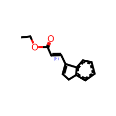 CCOC(=O)/C=C/C1=CCc2ccccc21